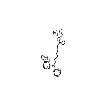 CCOC(=O)CCCCCCN(c1ccccn1)c1cc(C)ccn1